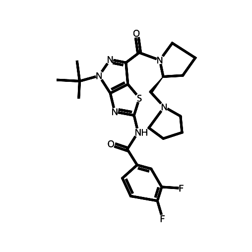 CC(C)(C)n1nc(C(=O)N2CCC[C@H]2CN2CCCC2)c2sc(NC(=O)c3ccc(F)c(F)c3)nc21